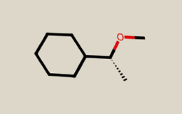 CO[C@H](C)C1CCCCC1